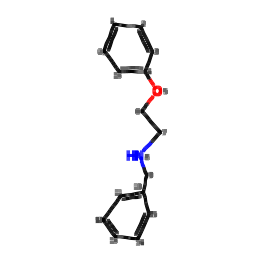 [c]1cccc(OCCNCc2ccccc2)c1